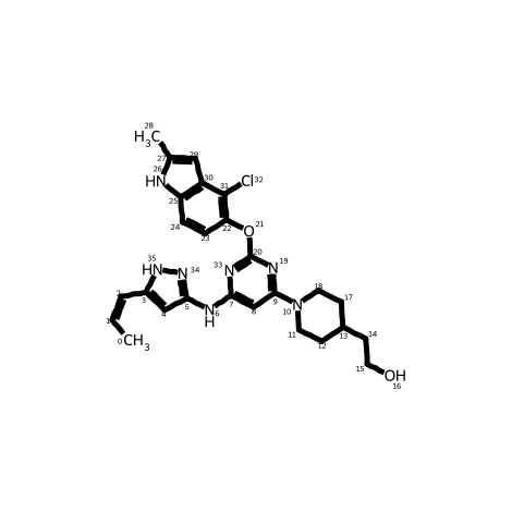 C/C=C\c1cc(Nc2cc(N3CCC(CCO)CC3)nc(Oc3ccc4[nH]c(C)cc4c3Cl)n2)n[nH]1